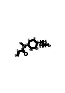 C=CC(=O)N(C)[C@H]1CC[C@@H](NNC)CC1